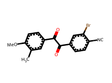 [C-]#[N+]c1ccc(C(=O)C(=O)c2ccc(OC)c(C)c2)cc1Br